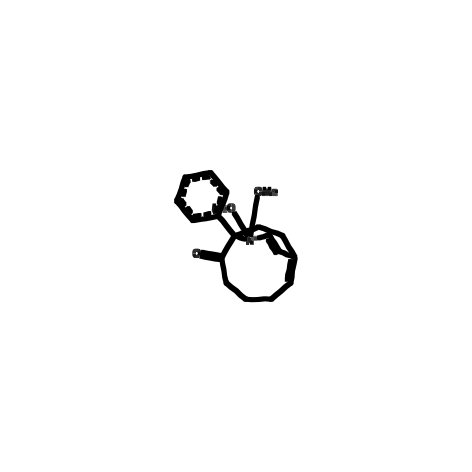 CO[N+]1(OC)C=CC2=CCCCC(=O)C1(c1ccccc1)CC2